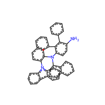 Nc1ccc(N(c2ccccc2-n2c3ccccc3c3ccccc32)c2cccc3ccccc23)c(-c2ccccc2)c1-c1ccccc1